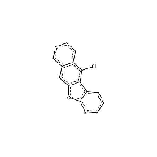 Clc1c2ccccc2cc2oc3ncccc3c12